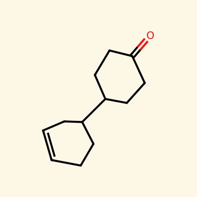 O=C1CCC(C2CC=CCC2)CC1